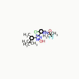 Cc1cc(-c2nc(O)nc(-c3cc(CNC(=O)C(C)(C)C(F)(F)F)ccc3Cl)n2)cc(C(C)(C)C)c1